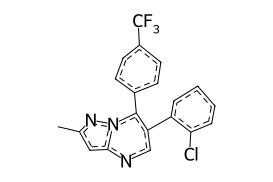 Cc1cc2ncc(-c3ccccc3Cl)c(-c3ccc(C(F)(F)F)cc3)n2n1